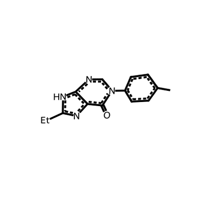 CCc1nc2c(=O)n(-c3ccc(C)cc3)cnc2[nH]1